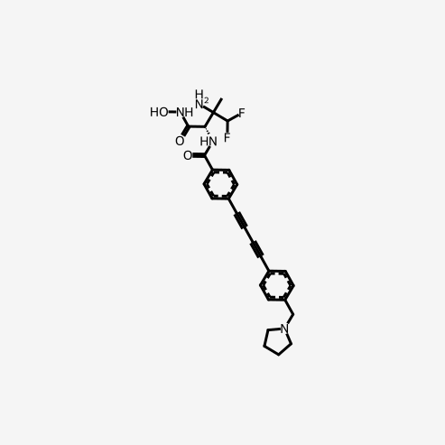 CC(N)(C(F)F)[C@H](NC(=O)c1ccc(C#CC#Cc2ccc(CN3CCCC3)cc2)cc1)C(=O)NO